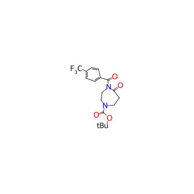 CC(C)(C)OC(=O)N1CCC(=O)N(C(=O)c2ccc(C(F)(F)F)cc2)CC1